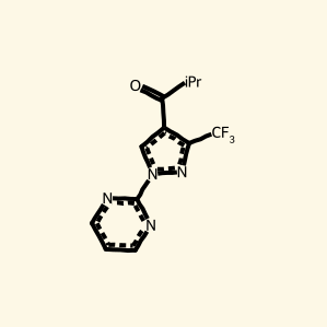 CC(C)C(=O)c1cn(-c2ncccn2)nc1C(F)(F)F